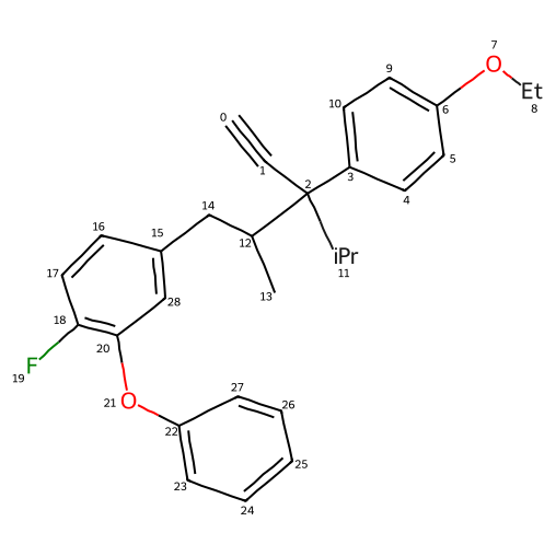 C#CC(c1ccc(OCC)cc1)(C(C)C)C(C)Cc1ccc(F)c(Oc2ccccc2)c1